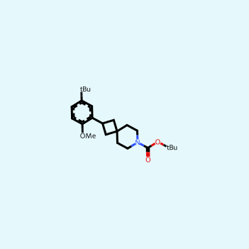 COc1ccc(C(C)(C)C)cc1C1CC2(CCN(C(=O)OC(C)(C)C)CC2)C1